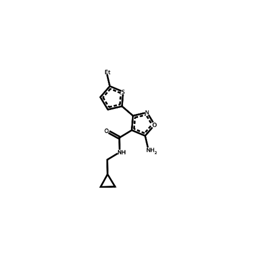 CCc1ccc(-c2noc(N)c2C(=O)NCC2CC2)s1